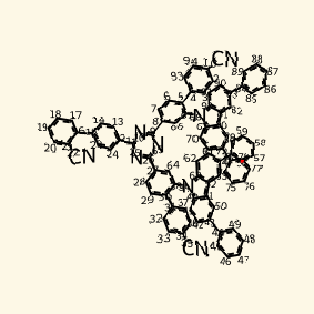 N#Cc1ccc(-c2ccc(-c3nc(-c4ccc(-c5ccccc5C#N)cc4)nc(-c4ccc(-c5ccc(C#N)cc5)c(-n5c6ccc(-c7ccccc7)cc6c6cc(-c7ccccc7)ccc65)c4)n3)cc2-n2c3ccc(-c4ccccc4)cc3c3cc(-c4ccccc4)ccc32)cc1